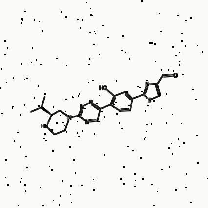 CC(C)[C@H]1CN(c2ncc(-c3ccc(-c4nc(C=O)cs4)cc3O)nn2)CCN1